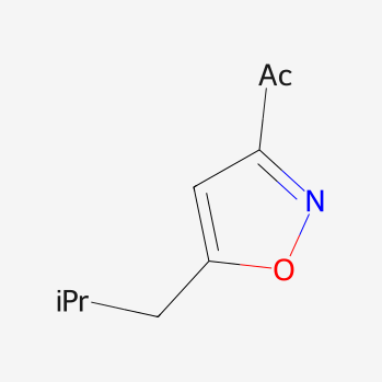 CC(=O)c1cc(CC(C)C)on1